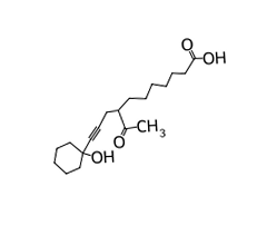 CC(=O)C(CC#CC1(O)CCCCC1)CCCCCCC(=O)O